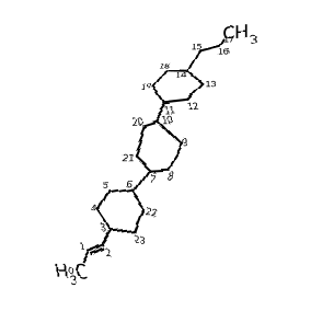 CC=CC1CCC(C2CCC(C3CCC(CCC)CC3)CC2)CC1